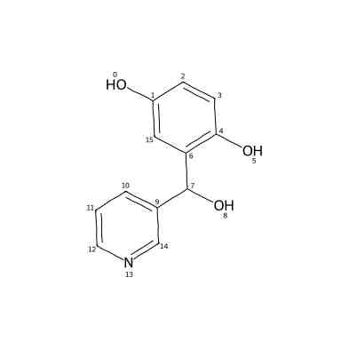 Oc1ccc(O)c(C(O)c2cccnc2)c1